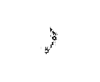 CC(C)CC(CNCCCCNc1cc(F)c(S(=O)(=O)Nc2ncc(F)s2)cc1Cl)C(C)N